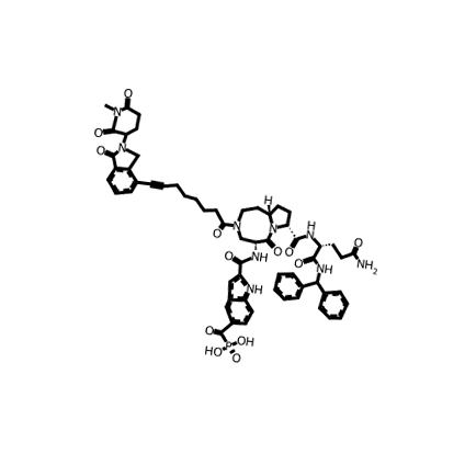 CN1C(=O)CCC(N2Cc3c(C#CCCCCCC(=O)N4CC[C@@H]5CC[C@H](C(=O)N[C@H](CCC(N)=O)C(=O)NC(c6ccccc6)c6ccccc6)N5C(=O)[C@H](NC(=O)c5cc6cc(C(=O)P(=O)(O)O)ccc6[nH]5)C4)cccc3C2=O)C1=O